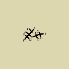 FC(F)(Cl)C(Cl)(OC(F)(Cl)C(Cl)(Cl)Cl)C(F)(F)Cl